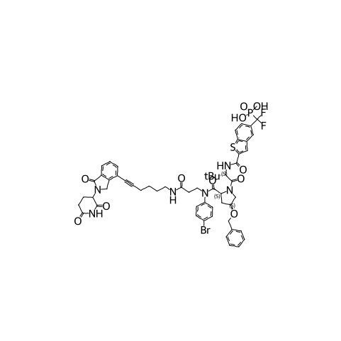 CC(C)(C)[C@H](NC(=O)c1cc2cc(C(F)(F)P(=O)(O)O)ccc2s1)C(=O)N1C[C@@H](OCc2ccccc2)C[C@H]1C(=O)N(CCC(=O)NCCCCC#Cc1cccc2c1CN(C1CCC(=O)NC1=O)C2=O)c1ccc(Br)cc1